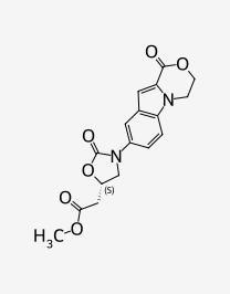 COC(=O)C[C@H]1CN(c2ccc3c(c2)cc2n3CCOC2=O)C(=O)O1